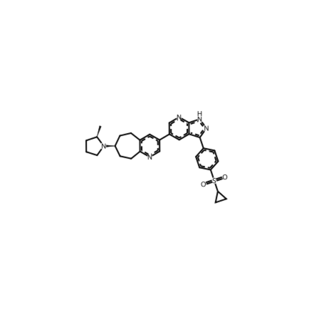 C[C@@H]1CCCN1[C@H]1CCc2cc(-c3cnc4[nH]nc(-c5ccc(S(=O)(=O)C6CC6)cc5)c4c3)cnc2CC1